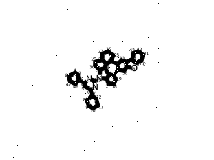 c1ccc(-c2cc(-c3ccccc3)nc(-n3c4cccc5c4c4c6c(cccc6ccc43)-c3cc4c(cc3-5)oc3ccccc34)n2)cc1